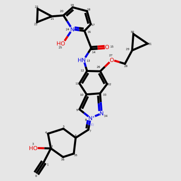 C#CC1(O)CCC(/C=[N+]2\C=c3cc(NC(=O)c4cccc(C5CC5)[n+]4O)c(OCC4CC4)cc3=N2)CC1